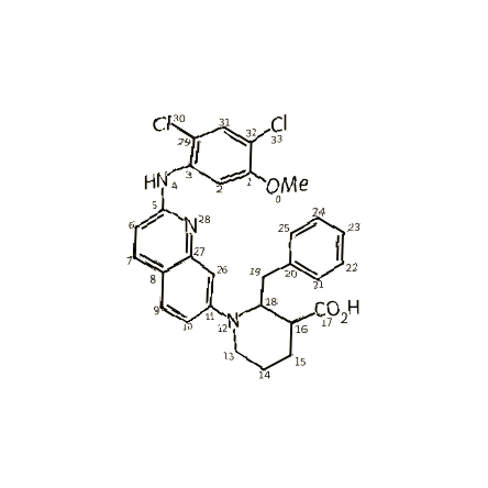 COc1cc(Nc2ccc3ccc(N4CCCC(C(=O)O)C4Cc4ccccc4)cc3n2)c(Cl)cc1Cl